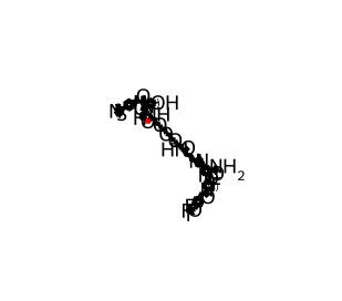 Cc1ncsc1-c1ccc(CNC(=O)[C@H]2C[C@@H](O)CN2C(=O)[C@@H](NC(=O)CCOCCOCCOCCNC(=O)CCCn2cnc(-c3cnc(O[C@@H]4CCN(C(=O)Cc5ccc(OC(F)(F)F)cc5)C[C@H]4F)c(C(N)=O)c3)c2)C(C)(C)C)cc1